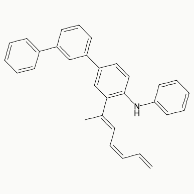 C=C/C=C\C=C(/C)c1cc(-c2cccc(-c3ccccc3)c2)ccc1Nc1ccccc1